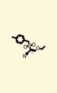 CCO/C=C(/C#N)S(=O)(=O)Cc1ccc(C)cc1